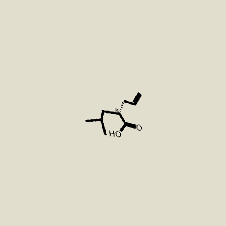 C=CC[C@@H](CC(C)C)C(=O)O